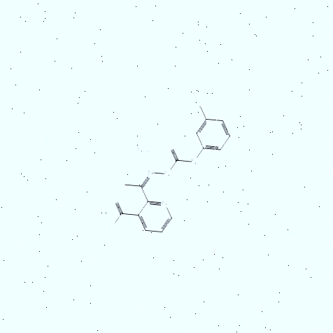 CC(=NNC(=O)Nc1cccc(Cl)c1)c1ncccc1C(=O)O.[NaH]